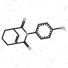 O=C1C2=CC(CCC2)C(=O)N1c1ccc([N+](=O)[O-])cc1